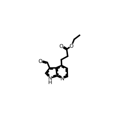 CCOC(=O)CCc1ccnc2[nH]cc(C=O)c12